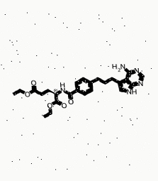 CCOC(=O)CC[C@@H](NC(=O)c1ccc(CCCc2c[nH]c3ncnc(N)c23)cc1)C(=O)OCC